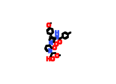 COCC(CO)n1cccc(N2C[C@@H](c3ccc(OC)cc3)[C@H](NC(=O)c3ccc(C)cc3)C2=O)c1=O